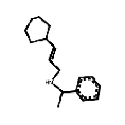 CC(NC/C=C/C1CCCCC1)c1ccccc1